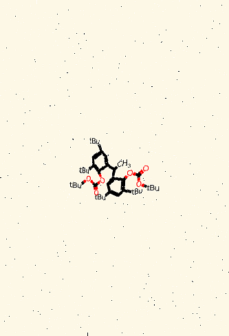 CC(c1cc(C(C)(C)C)cc(C(C)(C)C)c1OC(=O)OC(C)(C)C)c1cc(C(C)(C)C)cc(C(C)(C)C)c1OC(=O)OC(C)(C)C